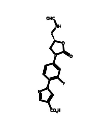 O=CNC[C@H]1CN(c2ccc(-n3cc(C(=O)O)cn3)c(F)c2)C(=O)O1